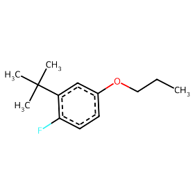 CCCOc1ccc(F)c(C(C)(C)C)c1